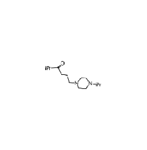 CC(C)C(=O)CCCN1CCN(C(C)C)CC1